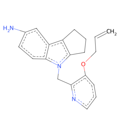 C=CCOc1cccnc1Cn1c2c(c3cc(N)ccc31)CCC2